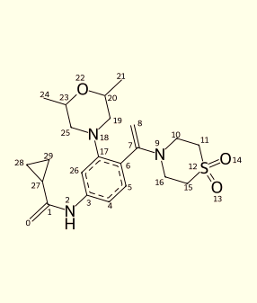 C=C(Nc1ccc(C(=C)N2CCS(=O)(=O)CC2)c(N2CC(C)OC(C)C2)c1)C1CC1